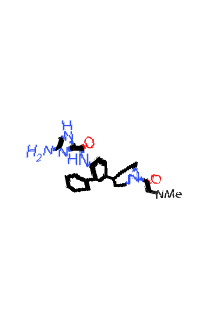 CNCC(=O)N1CCC(c2ccc(NC(=O)c3nc(N)c[nH]3)c(C3=CCCCC3)c2)CC1